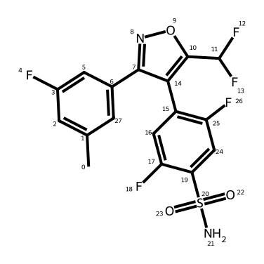 Cc1cc(F)cc(-c2noc(C(F)F)c2-c2cc(F)c(S(N)(=O)=O)cc2F)c1